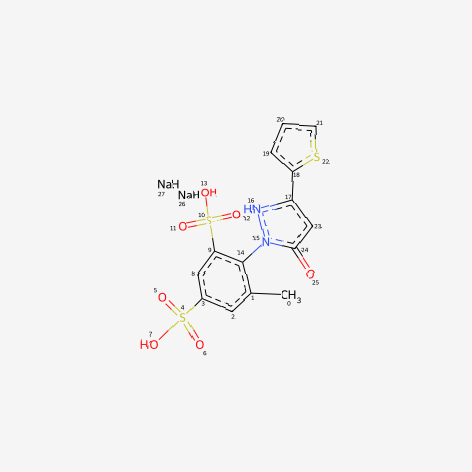 Cc1cc(S(=O)(=O)O)cc(S(=O)(=O)O)c1-n1[nH]c(-c2cccs2)cc1=O.[NaH].[NaH]